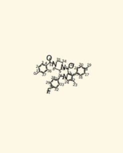 Cc1ccc(C(=O)N2CCN(C(=O)c3c(-c4ccc(C)cc4)c(C)cn3Cc3ccc(F)cc3)CC2)cc1